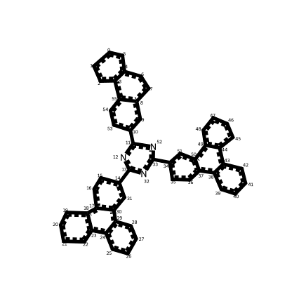 c1ccc2c(c1)ccc1cc(-c3nc(-c4ccc5c6ccccc6c6ccccc6c5c4)nc(-c4ccc5c6ccccc6c6ccccc6c5c4)n3)ccc12